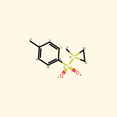 Cc1ccc(S(=O)(=O)S2(C)CC2)cc1